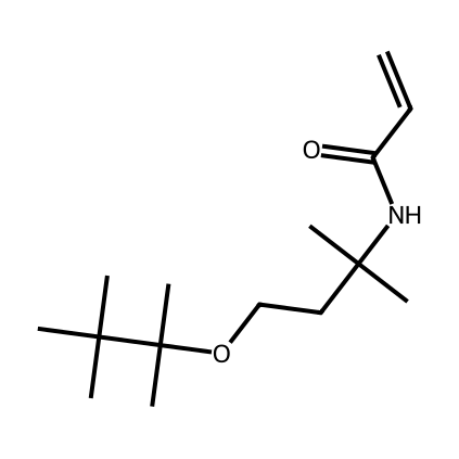 C=CC(=O)NC(C)(C)CCOC(C)(C)C(C)(C)C